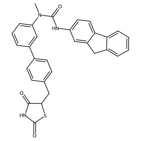 CN(C(=O)Nc1ccc2c(c1)Cc1ccccc1-2)c1cccc(-c2ccc(CC3SC(=O)NC3=O)cc2)c1